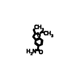 CCC1Cc2cc(C(N)=O)ccc2N1CC